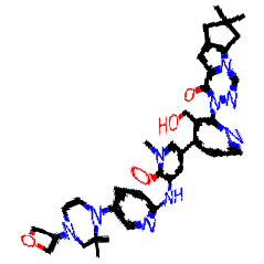 Cn1cc(-c2ccnc(-n3ncn4c5c(cc4c3=O)CC(C)(C)C5)c2CO)cc(Nc2ccc(N3CCN(C4COC4)CC3(C)C)cn2)c1=O